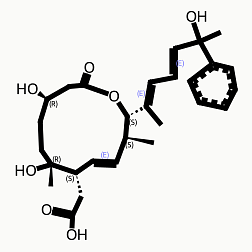 C/C(=C\C=C\C(C)(O)c1ccccc1)[C@H]1OC(=O)C[C@H](O)CC[C@@](C)(O)[C@@H](CC(=O)O)/C=C/[C@@H]1C